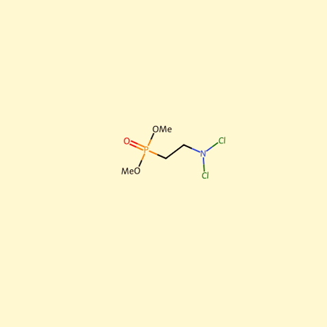 COP(=O)(CCN(Cl)Cl)OC